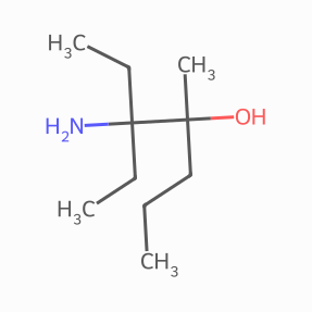 CCCC(C)(O)C(N)(CC)CC